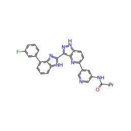 CC(C)C(=O)Nc1cncc(-c2ccc3[nH]nc(-c4nc5c(-c6cccc(F)c6)cccc5[nH]4)c3n2)c1